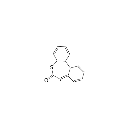 O=C1[C]=C2C=CC=CC2C2C=CC=CC2S1